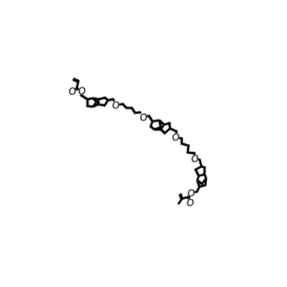 C=CC(=O)OCC1CC2CC1C1CC(COCCCCCOCC3CC4CC3C3CC(COCCCCCOCC5CC6C7CC(COC(=O)C(=C)C)C(C7)C6C5)CC43)CC21